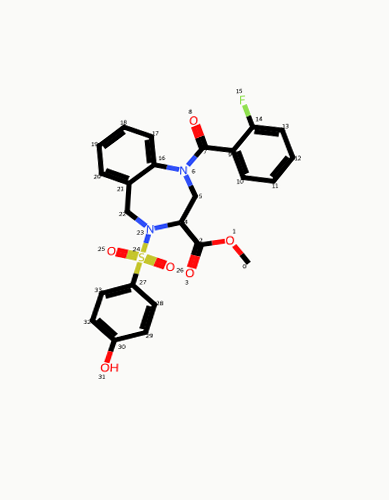 COC(=O)C1CN(C(=O)c2ccccc2F)c2ccccc2CN1S(=O)(=O)c1ccc(O)cc1